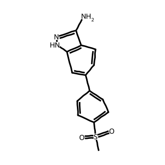 CS(=O)(=O)c1ccc(-c2ccc3c(N)n[nH]c3c2)cc1